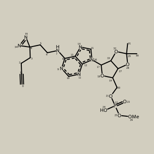 C#CCCC1(CCNc2ncnc3c2ncn3C2OC(COP(=O)(O)OOC)C3OC(C)(C)OC32)N=N1